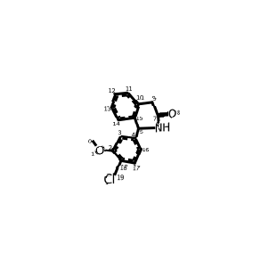 COc1cc(C2NC(=O)Cc3ccccc32)ccc1Cl